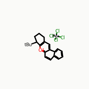 CC(C)(C)C1CCCc2cc3c(ccc4ccccc43)[o+]c21.[Cl][Fe-]([Cl])([Cl])[Cl]